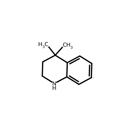 CC1(C)CCNc2c[c]ccc21